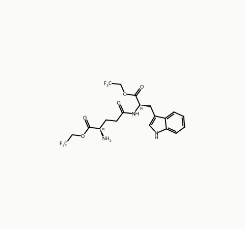 N[C@H](CCC(=O)N[C@H](Cc1c[nH]c2ccccc12)C(=O)OCC(F)(F)F)C(=O)OCC(F)(F)F